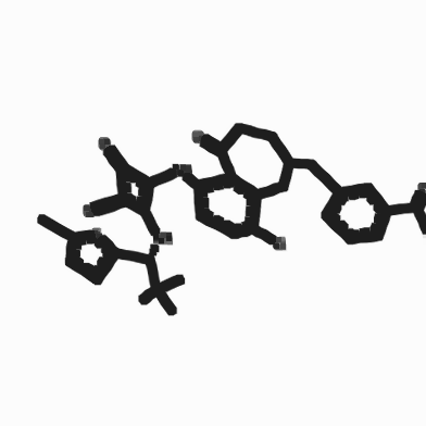 Cc1ccc([C@H](Nc2c(Nc3ccc(Cl)c4c3C(=O)CCC(Cc3cccc(C(=O)O)c3)C4)c(=O)c2=O)C(C)(C)C)s1